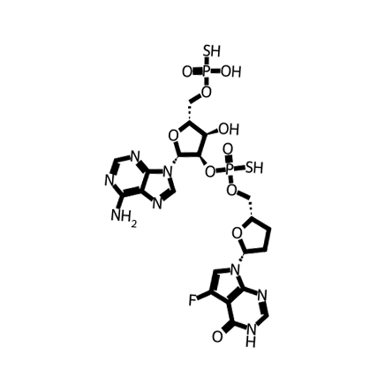 Nc1ncnc2c1ncn2[C@@H]1O[C@H](COP(=O)(O)S)[C@@H](O)[C@H]1OP(=O)(S)OC[C@@H]1CC[C@H](n2cc(F)c3c(=O)[nH]cnc32)O1